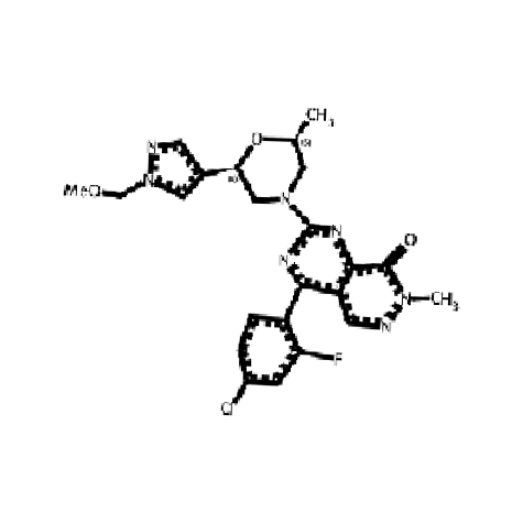 COCn1cc([C@@H]2CN(c3nc(-c4ccc(Cl)cc4F)c4cnn(C)c(=O)c4n3)C[C@H](C)O2)cn1